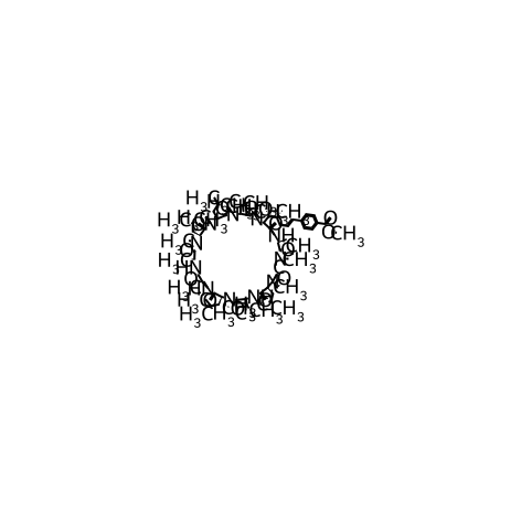 CC[C@@H]1NC(=O)[C@H]([C@H](O)[C@H](C)C/C=C/c2ccc(C(=O)OC)cc2)N(C)C(=O)[C@H](C(C)C)N(C)C(=O)C(CC(C)C)N(C)C(=O)[C@H](CC(C)C)N(C)C(=O)[C@@H](C)NC(=O)C(C)NC(=O)[C@H](CC(C)C)N(C)C(=O)C(C(C)C)NC(=O)[C@H](CC(C)C)N(C)C(=O)CN(C)C1=O